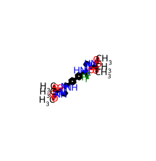 COC(=O)N[C@H](C(=O)N1CCC[C@H]1c1ncc(-c2ccc(-c3ccc(-c4[nH]c([C@@H]5CCCN5C(=O)[C@@H](NC(=O)OC)C(C)OC)nc4C(F)(F)F)cc3)cc2)[nH]1)C(C)OC